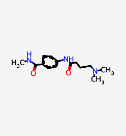 CNC(=O)c1ccc(NC(=O)CCCN(C)C)cc1